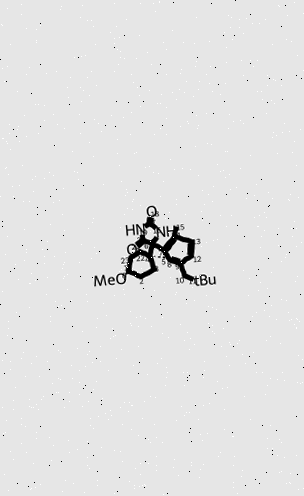 CO[C@H]1CC[C@](C)(C2(c3cc(CC(C)(C)C)ccc3C)NC(=O)NC2=O)CC1